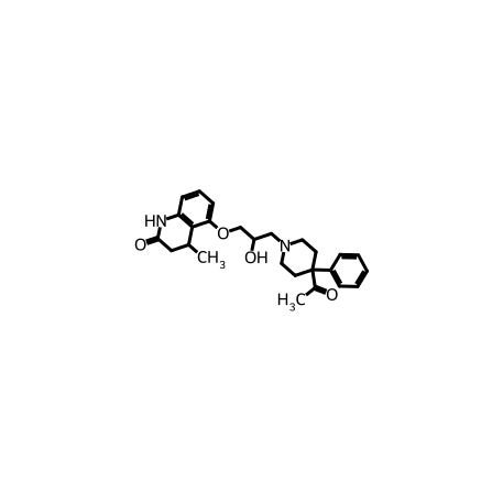 CC(=O)C1(c2ccccc2)CCN(CC(O)COc2cccc3c2C(C)CC(=O)N3)CC1